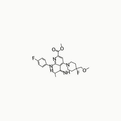 COCC1(F)CCN(c2cc(C(=O)OC)nc(Nc3ccc(F)cc3)c2C(=N)C(C)C)CC1